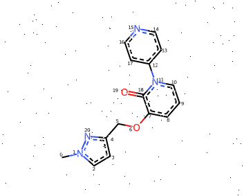 Cn1ccc(COc2cccn(-c3ccncc3)c2=O)n1